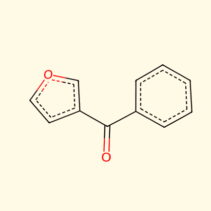 O=C(c1ccccc1)c1ccoc1